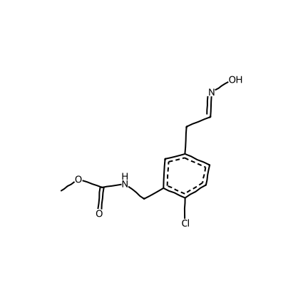 COC(=O)NCc1cc(CC=NO)ccc1Cl